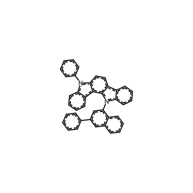 c1ccc(-c2cc(-n3c4ccccc4c4ccc5c(c6ccccc6n5-c5ccccc5)c43)c3ccccc3c2)cc1